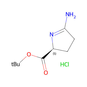 CC(C)(C)OC(=O)[C@@H]1CCC(N)=N1.Cl